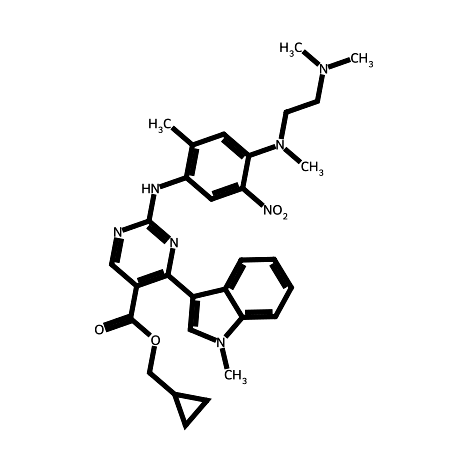 Cc1cc(N(C)CCN(C)C)c([N+](=O)[O-])cc1Nc1ncc(C(=O)OCC2CC2)c(-c2cn(C)c3ccccc23)n1